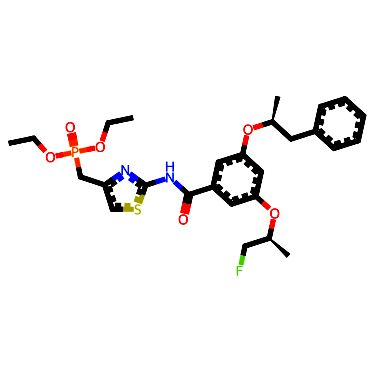 CCOP(=O)(Cc1csc(NC(=O)c2cc(O[C@@H](C)CF)cc(O[C@@H](C)Cc3ccccc3)c2)n1)OCC